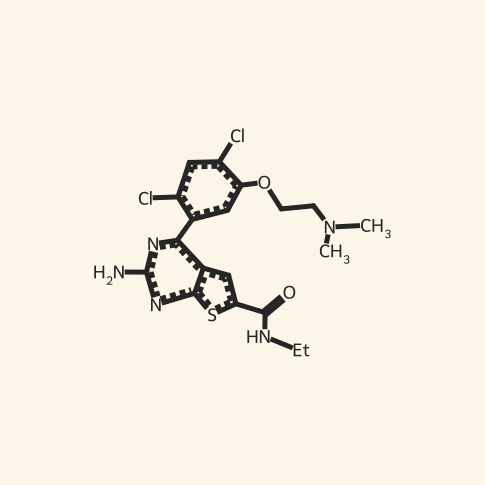 CCNC(=O)c1cc2c(-c3cc(OCCN(C)C)c(Cl)cc3Cl)nc(N)nc2s1